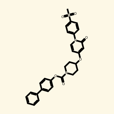 CS(=O)(=O)c1ccc(-n2ccc(OC3CCN(C(=O)Oc4ccc(-c5ccccc5)cc4)CC3)cc2=O)cc1